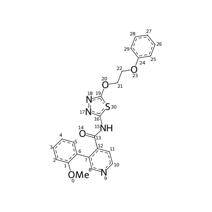 COc1ccccc1-c1cnccc1C(=O)Nc1nnc(OCCOc2ccccc2)s1